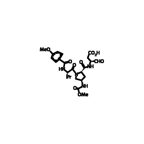 COC(=O)N[C@@H]1C[C@@H](C(=O)N[C@H](C=O)CC(=O)O)N(C(=O)[C@@H](NC(=O)c2ccc(OC)cc2)C(C)C)C1